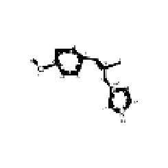 COc1ccc(C=C(C)Cn2ccnc2)cc1